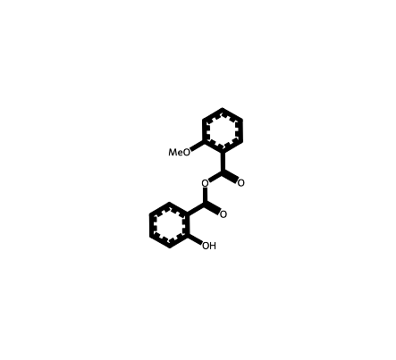 COc1ccccc1C(=O)OC(=O)c1ccccc1O